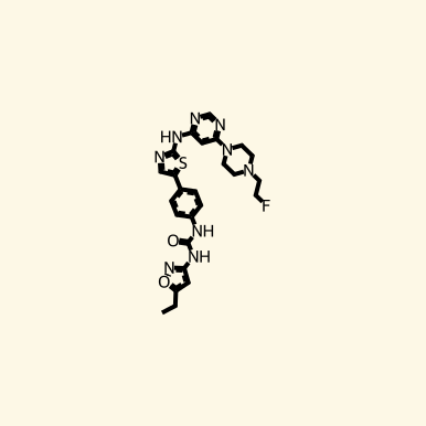 CCc1cc(NC(=O)Nc2ccc(-c3cnc(Nc4cc(N5CCN(CCF)CC5)ncn4)s3)cc2)no1